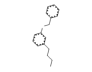 [CH2]CCCc1cccc(OCc2ccccc2)c1